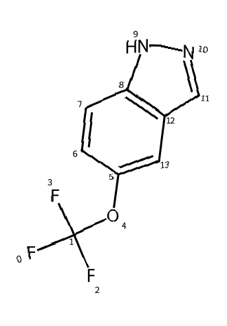 FC(F)(F)Oc1ccc2[nH]ncc2c1